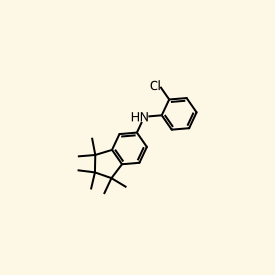 CC1(C)c2ccc(Nc3ccccc3Cl)cc2C(C)(C)C1(C)C